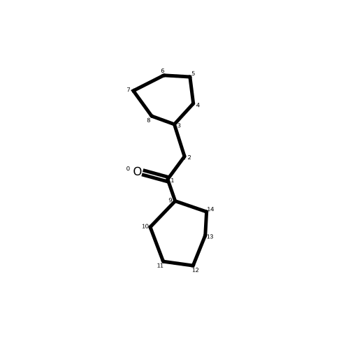 O=C([CH]C1CCCCC1)C1CCCCC1